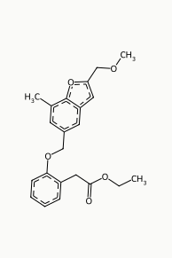 CCOC(=O)Cc1ccccc1OCc1cc(C)c2oc(COC)cc2c1